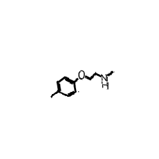 CNCCOc1[c]cc(C)cc1